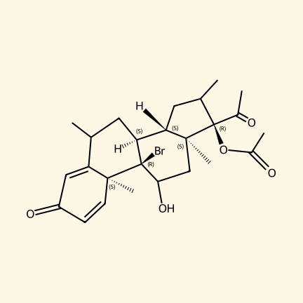 CC(=O)O[C@]1(C(C)=O)C(C)C[C@H]2[C@@H]3CC(C)C4=CC(=O)C=C[C@]4(C)[C@@]3(Br)C(O)C[C@@]21C